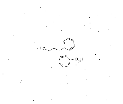 O=C(O)c1ccccc1.OCCCc1ccccc1